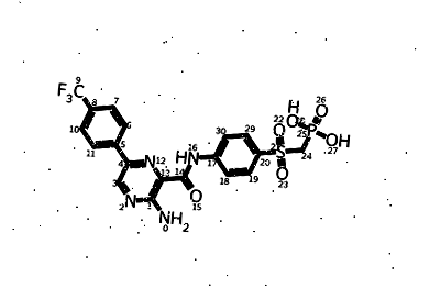 Nc1ncc(-c2ccc(C(F)(F)F)cc2)nc1C(=O)Nc1ccc(S(=O)(=O)CP(=O)(O)O)cc1